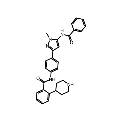 Cn1nc(-c2ccc(NC(=O)c3ccccc3C3CCNCC3)cc2)cc1NC(=O)c1ccccc1